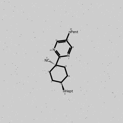 CCCCCCC[C@H]1CC[C@@](C#N)(c2ncc(CCCCC)cn2)CC1